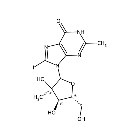 Cc1nc2c(nc(I)n2C2O[C@H](CO)[C@@H](O)[C@@]2(C)O)c(=O)[nH]1